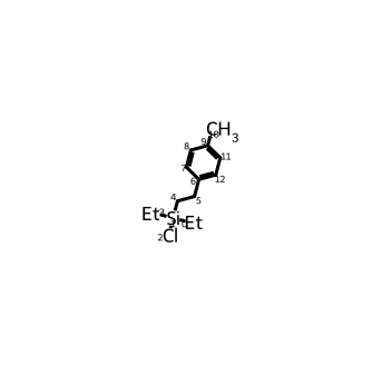 CC[Si](Cl)(CC)CCc1ccc(C)cc1